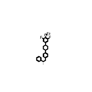 CCOc1c(F)cc(C2CCC(c3ccc(C[C@H](C)c4ccccc4)cc3)CC2)cc1F